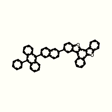 c1ccc(-c2c3ccccc3c(-c3ccc4cc(-c5ccc6oc7c(c6c5)c5ccccc5c5oc6ccccc6c57)ccc4c3)c3ccccc23)cc1